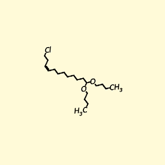 CCCCOC(CCCCCCC/C=C\CCCl)OCCCC